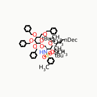 CCCCCCCCCCCCCC[C@@H](O[Si](C)(C)C(C)(C)C)[C@@H](O[Si](C)(C)C(C)(C)C)[C@H](CO[C@H]1OC(COCc2ccccc2)[C@H](OCc2ccccc2)[C@@H](OCc2ccccc2)C1OCc1ccccc1)NS(=O)(=O)c1cccc(C)c1